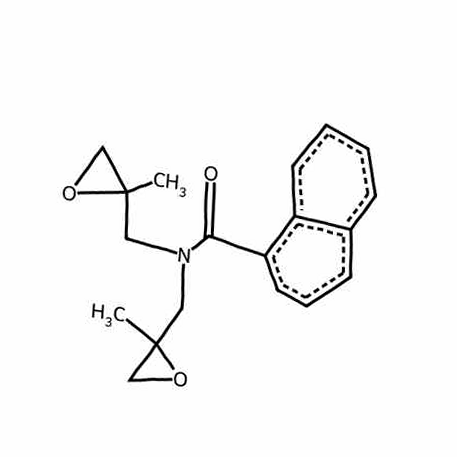 CC1(CN(CC2(C)CO2)C(=O)c2cccc3ccccc23)CO1